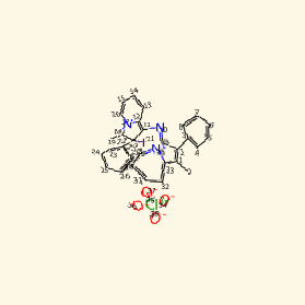 CC1=C(c2ccccc2)C(=NC2=C3C=CC=CN3C(C)C2(I)c2ccccc2)[n+]2ccccc21.[O-][Cl+3]([O-])([O-])[O-]